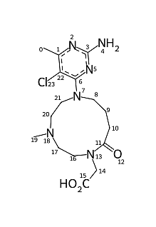 Cc1nc(N)nc(N2CCCC(=O)N(CC(=O)O)CCN(C)CC2)c1Cl